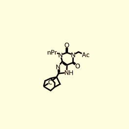 CCCn1c(=O)n(CC(C)=O)c(=O)c2[nH]c(C34CC5CC(CC3C5)C4)nc21